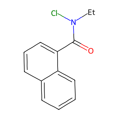 CCN(Cl)C(=O)c1cccc2ccccc12